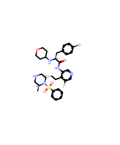 C[C@H]1CNC[C@H](CCc2c(F)cncc2NC(=O)[C@H](Cc2ccc(Cl)cc2)NC2CCOCC2)N1S(=O)(=O)c1ccccc1